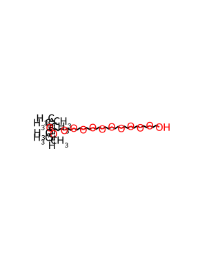 CC(C)[Si](C)(C)O[Si](C)(CCCOCCOCCOCCOCCOCCOCCOCCOCCOCCOCCO)O[SiH](C)C